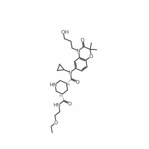 CCOCCNC(=O)[C@@H]1CNC[C@H](C(=O)N(c2ccc3c(c2)N(CCCO)C(=O)C(C)(C)O3)C2CC2)C1